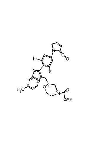 COC(=O)N1CCO[C@@H](Cc2c(-c3c(F)cc(N4CC=CC4=C=O)cc3F)nc3cc(C)ccn23)C1